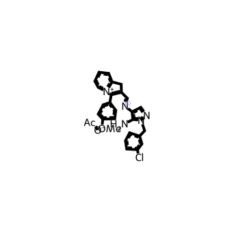 CC(=O)[O-].COc1ccc(C2=C(/C=N/c3cnn(Cc4cccc(Cl)c4)c3N)Cc3cccc[n+]32)cc1